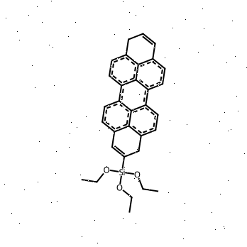 CCO[Si](OCC)(OCC)C1=Cc2ccc3c4ccc5c6c(ccc(c7ccc(c2c37)C1)c64)C=CC5